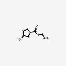 CCOC(=O)N1CCC(C)C1